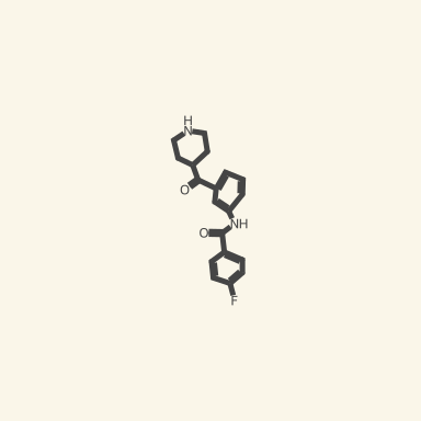 O=C(Nc1cccc(C(=O)C2CCNCC2)c1)c1ccc(F)cc1